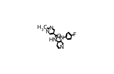 Cc1ncc(C(=O)Nc2ccncc2Nc2ccc(F)cc2)cn1